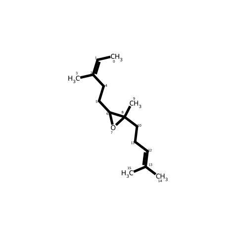 C/C=C(/C)CCC1OC1(C)CCC=C(C)C